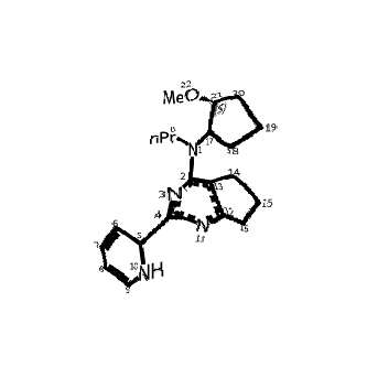 CCCN(c1nc(C2C=CC=CN2)nc2c1CCC2)C1CCC[C@@H]1OC